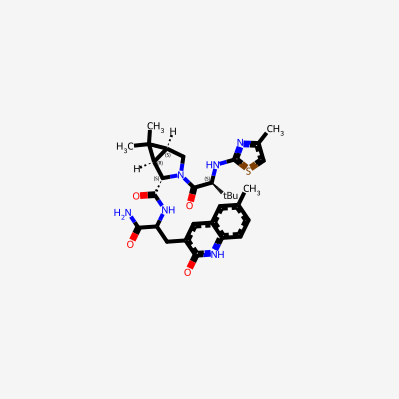 Cc1ccc2[nH]c(=O)c(CC(NC(=O)[C@@H]3[C@@H]4[C@H](CN3C(=O)[C@@H](Nc3nc(C)cs3)C(C)(C)C)C4(C)C)C(N)=O)cc2c1